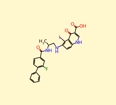 C[C@@H](CNc1ccc2[nH]cc(C(=O)O)c(=O)c2c1I)NC(=O)c1ccc(-c2ccccc2)c(F)c1